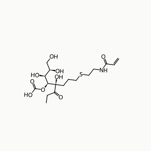 C=CC(=O)NCCSCCC[C@](O)(C(=O)CC)[C@@H](OC(=O)O)[C@@H](O)[C@H](O)CO